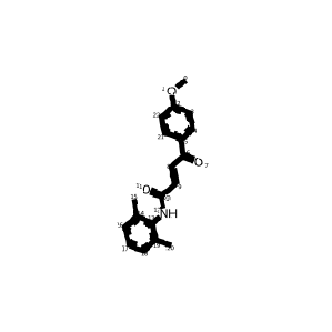 COc1ccc(C(=O)C=CC(=O)Nc2c(C)cccc2C)cc1